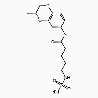 CC1COc2ccc(NC(=O)CCCCNS(=O)(=O)C(C)(C)C)cc2O1